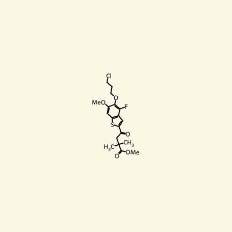 COC(=O)C(C)(C)CC(=O)c1cc2c(F)c(OCCCCl)c(OC)cc2s1